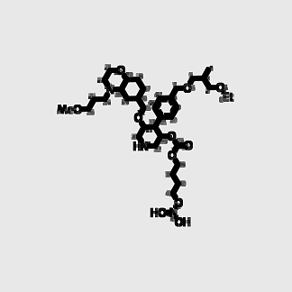 CCOCC(C)COCc1ccc(C2C(OCC3CCC4OCCN(CCCOC)C4C3)CNCC2OC(=O)OCCCCON(O)O)cc1